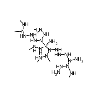 CNN[N+](N)(N(NN)NNNN(C)NC)N(NNNN(N)N(NC)NN)N(C)NC